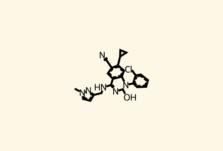 Cn1ccc(CNC2=NC(O)N(c3ccccc3Cl)c3cc(C4CC4)c(C#N)cc32)n1